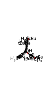 CC(CCC(C(=O)OCCCCCCC(O)(CCCCCCOC(=O)C(CCC(C)CC(C)(C)C)C(C)CC(C)(C)C)CCCCOC(=O)C1CCN(C)CC1)C(C)CC(C)(C)C)CC(C)(C)C